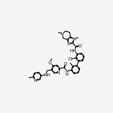 COc1cc(C(=O)Nc2cccc(-c3cccc(NC(=O)c4nc5c(n4C)CCN(C)C5)c3Cl)c2C)ncc1CNc1ccc(C)nc1